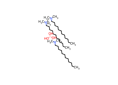 CCCCCCCCCCCCN(C)C.CCCCCCCCCCCCN(C)C.CCCCCCCCCCCCN(C)C.OB(O)O